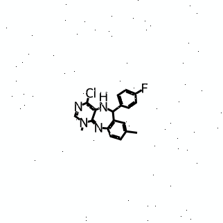 Cc1ccc2c(c1)C(c1ccc(F)cc1)NC1=C(Cl)N=CN(C)C1=N2